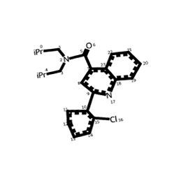 CC(C)CN(CC(C)C)C(=O)c1cc(-c2ccccc2Cl)nc2ccccc12